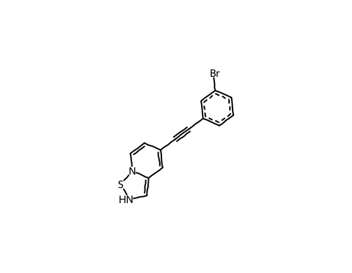 Brc1cccc(C#CC2=CC3=CNSN3C=C2)c1